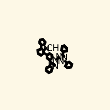 Cn1c2ccccc2c2cccc(-c3ccc4c(c3)n3c5ccccc5nc3n4-c3nc(-c4ccccc4)nc(-c4ccccc4)n3)c21